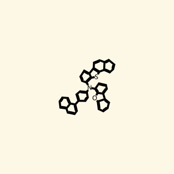 c1ccc2c(-c3ccc(N(c4cccc5c4oc4ccccc45)c4cccc5c4sc4c6ccccc6ccc54)cc3)cccc2c1